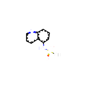 CS(=O)(=O)Nc1cccc2ncccc12